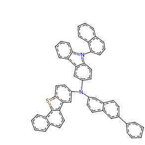 c1ccc(-c2ccc3cc(N(c4ccc5sc6c7ccccc7ccc6c5c4)c4ccc5c(c4)c4ccccc4n5-c4cccc5ccccc45)ccc3c2)cc1